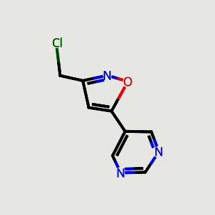 ClCc1cc(-c2cncnc2)on1